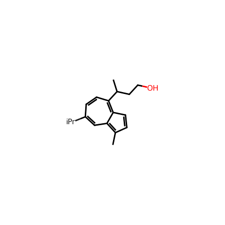 Cc1ccc2c(C(C)CCO)ccc(C(C)C)cc1-2